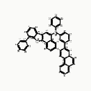 C1=CC2c3ccccc3C=CC2C=C1c1cccc(N(c2ccccc2)c2cc3c4cccc(-c5ccccc5)c4oc3c3ccccc23)c1